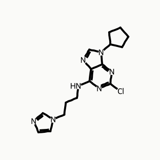 Clc1nc(NCCCn2ccnc2)c2ncn(C3CCCC3)c2n1